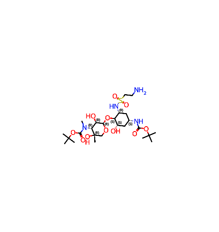 CN(C(=O)OC(C)(C)C)[C@@H]1[C@@H](O)[C@@H](O[C@@H]2[C@@H](O)C[C@@H](NC(=O)OC(C)(C)C)C[C@H]2NS(=O)(=O)CCN)OC[C@]1(C)O